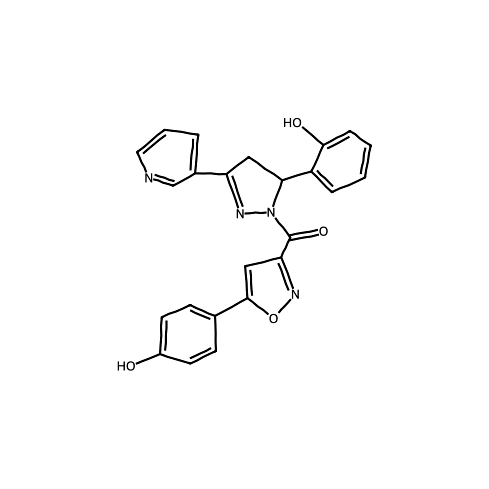 O=C(c1cc(-c2ccc(O)cc2)on1)N1N=C(c2cccnc2)CC1c1ccccc1O